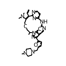 C=C/C1=C(\N(C)C)CCCC(C)n2nc(-c3ccc(CN4CCN(C)CC4)o3)c3cnc(cc32)Nc2ccnc1n2